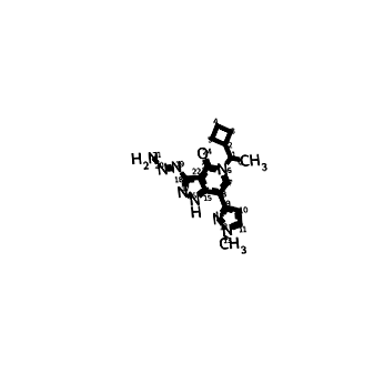 CC(C1CCC1)n1cc(-c2ccn(C)n2)c2[nH]nc(N=NN)c2c1=O